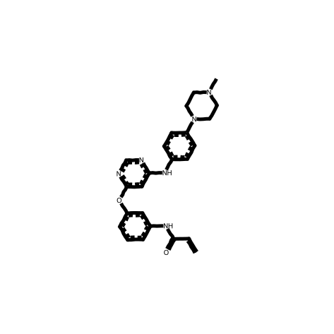 C=CC(=O)Nc1cccc(Oc2cc(Nc3ccc(N4CCN(C)CC4)cc3)ncn2)c1